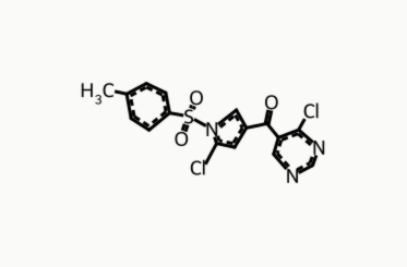 Cc1ccc(S(=O)(=O)n2cc(C(=O)c3cncnc3Cl)cc2Cl)cc1